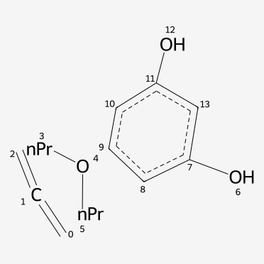 C=C=C.CCCOCCC.Oc1cccc(O)c1